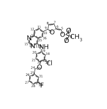 CS(=O)(=O)OC=C1C=CC(c2ccc3ncnc(Nc4ccc(OCc5cccc(F)c5)c(Cl)c4)c3c2)O1